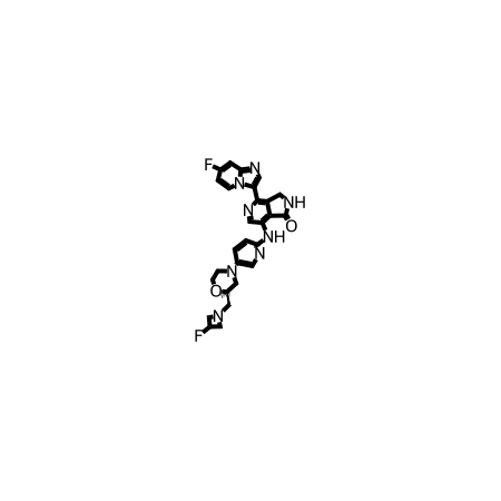 O=C1NCc2c(-c3cnc4cc(F)ccn34)ncc(Nc3ccc(N4CCO[C@H](CN5CC(F)C5)C4)cn3)c21